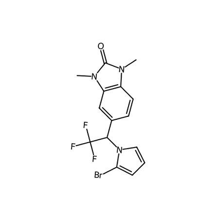 Cn1c(=O)n(C)c2cc(C(n3cccc3Br)C(F)(F)F)ccc21